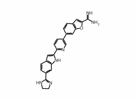 N=C(N)c1cc2ccc(-c3ccc(-c4cc5ccc(C6=NCCN6)cc5[nH]4)nc3)cc2o1